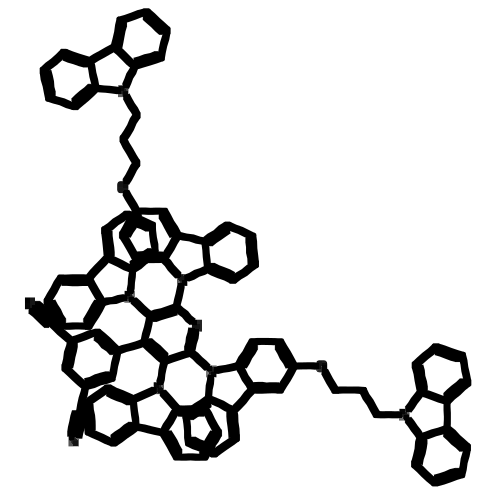 N#Cc1cc(C#N)cc(-c2c(-n3c4ccccc4c4ccccc43)c(-n3c4ccccc4c4cc(OCCCn5c6ccccc6c6ccccc65)ccc43)nc(-n3c4ccccc4c4cc(OCCCn5c6ccccc6c6ccccc65)ccc43)c2-n2c3ccccc3c3ccccc32)c1